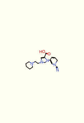 N#CN1C=C(N2CN(CCN3CCCCC3)C=C2C(=O)O)C=CC1